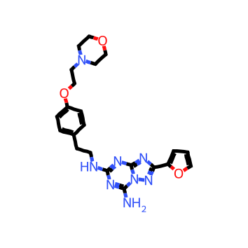 Nc1nc(NCCc2ccc(OCCN3CCOCC3)cc2)nc2nc(-c3ccco3)nn12